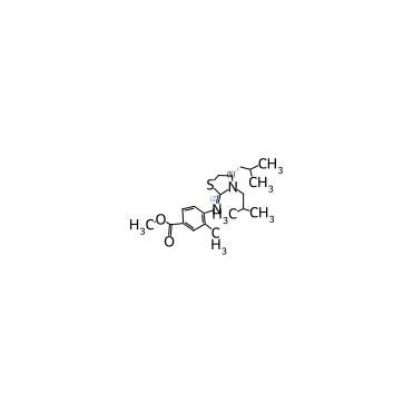 COC(=O)c1ccc(/N=C2\SC[C@H](CC(C)C)N2CC(C)C)c(C)c1